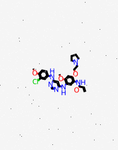 C=CC(=O)Nc1cc(Nc2cc(Nc3ccc(OC)c(Cl)c3)ncn2)c(OC)cc1OCCN1CCCC1